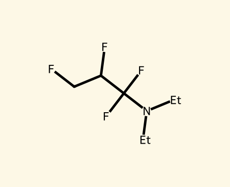 CCN(CC)C(F)(F)C(F)CF